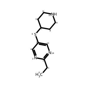 CCc1ncc(SC2CCNCC2)cn1